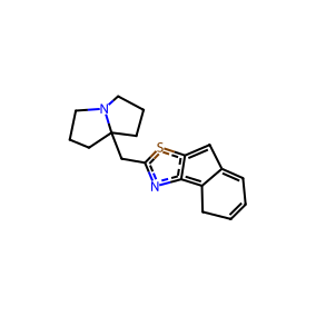 C1=CCC2=c3nc(CC45CCCN4CCC5)sc3=CC2=C1